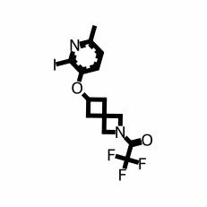 Cc1ccc(OC2CC3(C2)CN(C(=O)C(F)(F)F)C3)c(I)n1